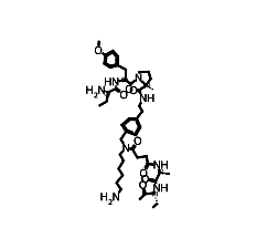 CC[C@H](N)C(=O)N[C@@H](Cc1ccc(OC)cc1)C(=O)N1CCC[C@@]1(C)C(=O)NCCc1ccc(CN(CCCCCCN)C(=O)CCC(=O)N[C@@H](C)C(=O)N[C@H](CC)C(C)=O)cc1